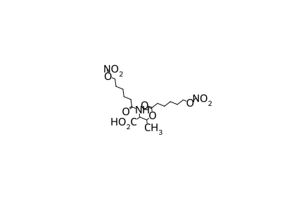 CC(OC(=O)CCCCCO[N+](=O)[O-])C(NC(=O)CCCCCO[N+](=O)[O-])C(=O)O